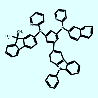 CC1(C)c2ccccc2-c2ccc(N(c3cc(C4=Cc5c(n(-c6ccccc6)c6ccccc56)CC4)cc(N(c4ccc5ccccc5c4)c4ccccn4)c3)c3ccccn3)cc21